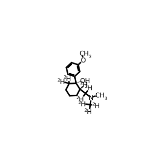 [2H]C([2H])([2H])N(C)C([2H])([2H])[C@]1([2H])CCCC([2H])([2H])[C@@]1(O)c1cccc(OC)c1